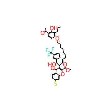 CCCc1c(OCCCCC/C=C\C=C\[C@@H](c2c(C(=O)OC)oc3c(c2=O)=CCC(=S)C=3)[C@@H](O)c2cccc(C(F)(F)F)c2)ccc(C(C)=O)c1O